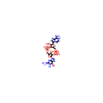 Nc1nc2c(ncn2C2OC3COP(=O)(O)OC4C(COP(=O)(O)OC2C3O)OC(c2cnc3c(N)nccn23)C4O)c(=O)[nH]1